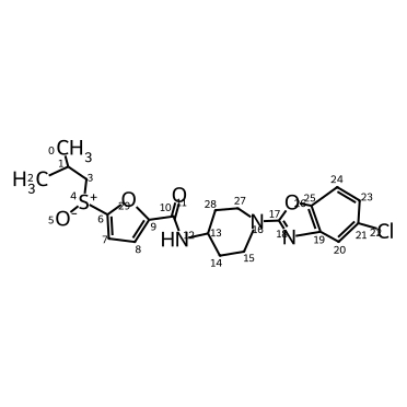 CC(C)C[S+]([O-])c1ccc(C(=O)NC2CCN(c3nc4cc(Cl)ccc4o3)CC2)o1